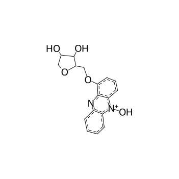 OC1COC(COc2cccc3c2nc2ccccc2[n+]3O)C1O